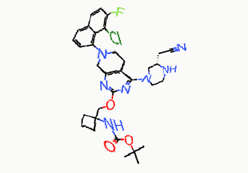 CC(C)(C)OC(=O)NC1(COc2nc3c(c(N4CCN[C@@H](CC#N)C4)n2)CCN(c2cccc4ccc(F)c(Cl)c24)C3)CCC1